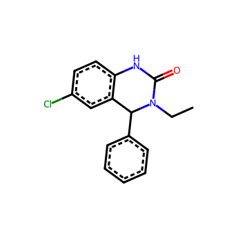 CCN1C(=O)Nc2ccc(Cl)cc2C1c1ccccc1